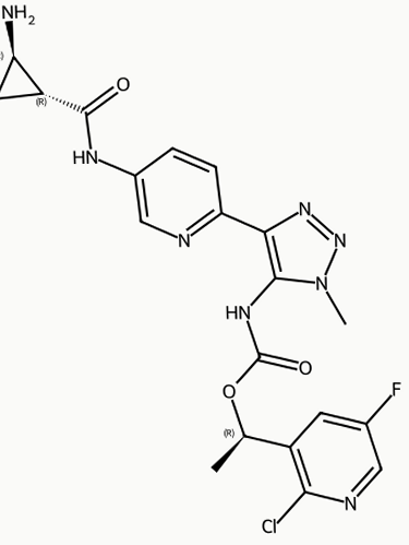 C[C@@H](OC(=O)Nc1c(-c2ccc(NC(=O)[C@@H]3C[C@H]3N)cn2)nnn1C)c1cc(F)cnc1Cl